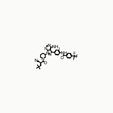 CC(C)(C)/C=C(\C#N)C(=O)N1CCCC(n2nc(-c3ccc(NC(=O)c4ccc(C(F)(F)F)cc4)cc3)c3c(N)ncnc32)C1